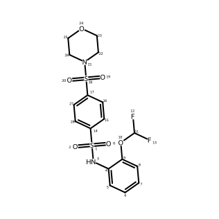 O=S(=O)(Nc1ccccc1OC(F)F)c1ccc(S(=O)(=O)N2CCOCC2)cc1